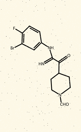 N=C(Nc1ccc(F)c(Br)c1)C(=O)C1CCN(C=O)CC1